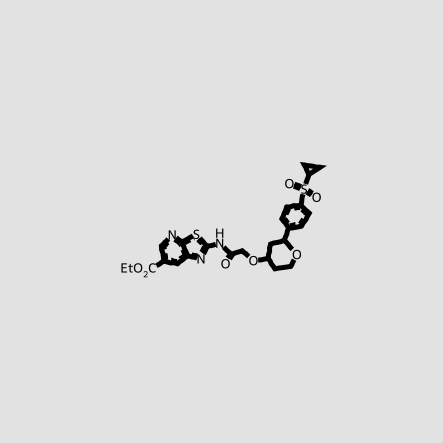 CCOC(=O)c1cnc2sc(NC(=O)COC3CCOC(c4ccc(S(=O)(=O)C5CC5)cc4)C3)nc2c1